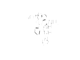 CCCN(CCC)C(=O)c1cccc(C(N)=O)c1[C@H](Cc1ccccc1)[C@@H](O)CNCCN1CCOCC1